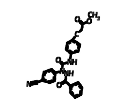 COC(=O)CCc1ccc(NC(=O)N(NC(=O)c2ccccc2)c2ccc(C#N)cc2)cc1